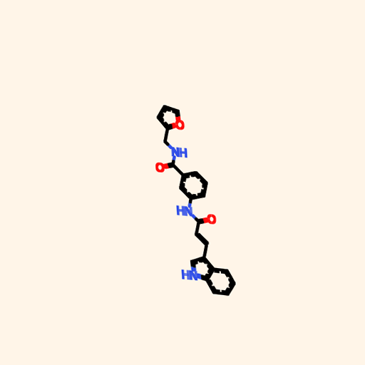 O=C(C=Cc1c[nH]c2ccccc12)Nc1cccc(C(=O)NCc2ccco2)c1